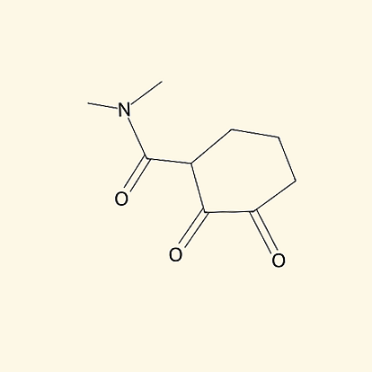 CN(C)C(=O)C1CCCC(=O)C1=O